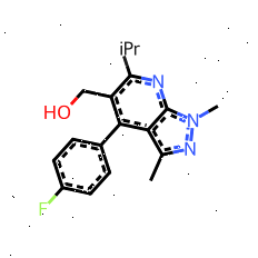 Cc1nn(C)c2nc(C(C)C)c(CO)c(-c3ccc(F)cc3)c12